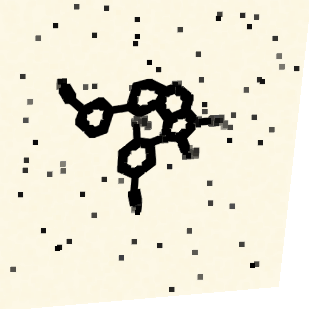 Cc1ccc(C#N)cc1-n1c(=N)n(C)c2cnc3ccc(-c4cccc(C#N)c4)cc3c21